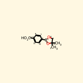 CC1(C)COB(c2ccc(C(=O)O)cc2)O1